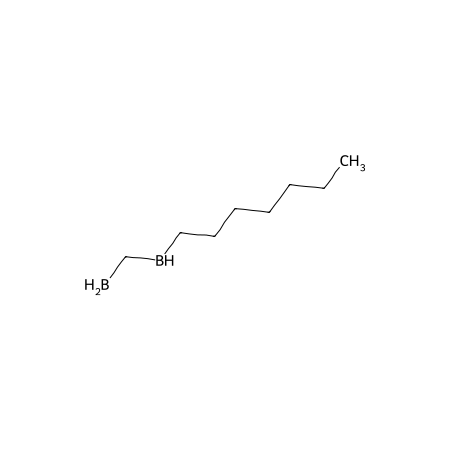 BCBCCCCCCC